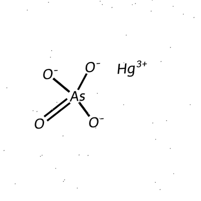 O=[As]([O-])([O-])[O-].[Hg+3]